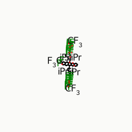 CC(C)[Si](C#Cc1c2cc3ccccc3cc2c(C#C[Si](CCC(F)(F)C(F)(F)C(F)(F)C(F)(F)C(F)(F)C(F)(F)C(F)(F)C(F)(F)F)(C(C)C)C(C)C)c2cc3cc(C(F)(F)C(F)(F)F)ccc3cc12)(CCC(F)(F)C(F)(F)C(F)(F)C(F)(F)C(F)(F)C(F)(F)C(F)(F)C(F)(F)F)C(C)C